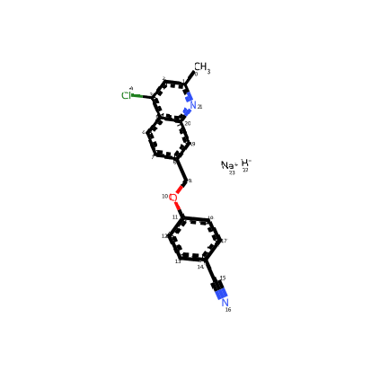 Cc1cc(Cl)c2ccc(COc3ccc(C#N)cc3)cc2n1.[H-].[Na+]